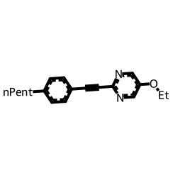 CCCCCc1ccc(C#Cc2ncc(OCC)cn2)cc1